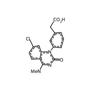 CNc1nc(=O)n(-c2cccc(CC(=O)O)c2)c2cc(Cl)ccc12